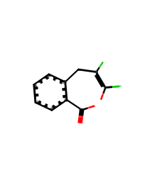 O=C1OC(Cl)=C(Cl)Cc2ccccc21